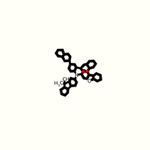 CC1(C)c2ccccc2-c2ccc(N(c3ccc4c(c3)oc3ccccc34)c3ccc(-c4ccc5ccccc5c4)cc3-c3ccc4ccccc4c3)cc21